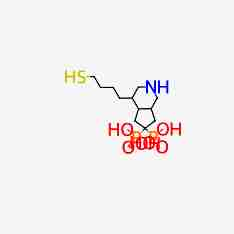 O=P(O)(O)C1(P(=O)(O)O)CC2CNCC(CCCCS)C2C1